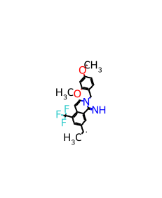 C[CH]c1cc(C(F)(F)F)c2ccn(Cc3ccc(OC)cc3OC)c(=N)c2c1